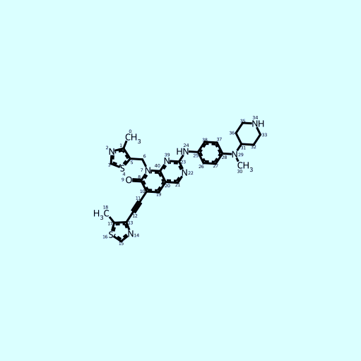 Cc1ncsc1Cn1c(=O)c(C#Cc2ncsc2C)cc2cnc(Nc3ccc(N(C)C4CCNCC4)cc3)nc21